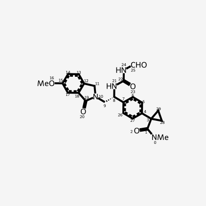 CNC(=O)C1(c2ccc([C@H](CN3Cc4ccc(OC)cc4C3=O)NC(=O)NC=O)cc2)CC1